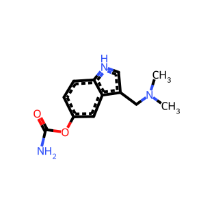 CN(C)Cc1c[nH]c2ccc(OC(N)=O)cc12